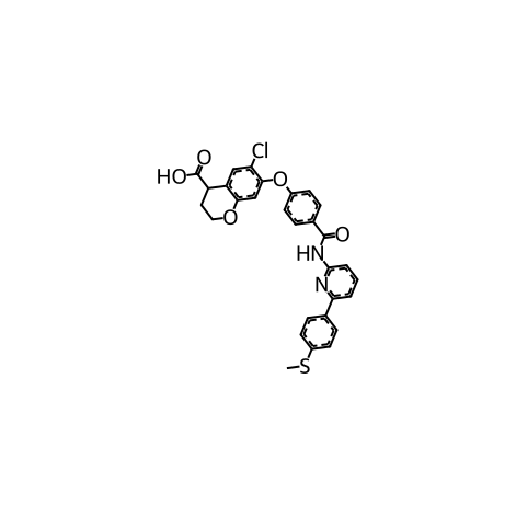 CSc1ccc(-c2cccc(NC(=O)c3ccc(Oc4cc5c(cc4Cl)C(C(=O)O)CCO5)cc3)n2)cc1